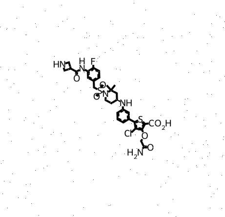 CC1(C)C[C@@H](Nc2cccc(-c3sc(C(=O)O)c(OCC(N)=O)c3Cl)c2)CCN1S(=O)(=O)Cc1ccc(F)c(NC(=O)C2CNC2)c1